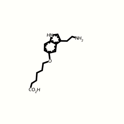 NCCc1c[nH]c2ccc(OCCCCCC(=O)O)cc12